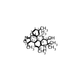 Cc1cccc(-c2c(-c3c(C)noc3C)cc(C)c3c2[C@H](C)C(O)C(C)(C)N3)c1